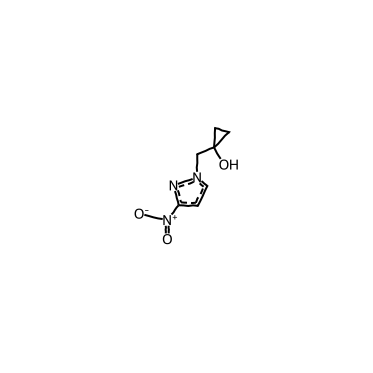 O=[N+]([O-])c1ccn(CC2(O)CC2)n1